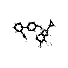 Cc1c(Br)cnc2c1nc(C1CC1)n2Cc1ccc(-c2ccccc2C#N)cc1